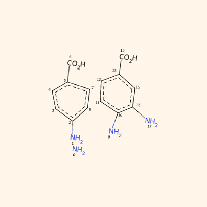 N.Nc1ccc(C(=O)O)cc1.Nc1ccc(C(=O)O)cc1N